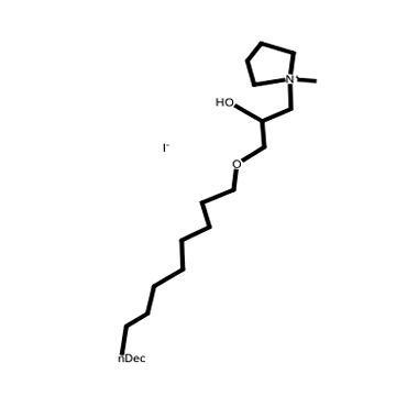 CCCCCCCCCCCCCCCCCCOCC(O)C[N+]1(C)CCCC1.[I-]